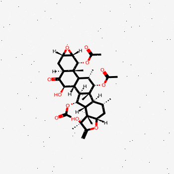 C=C1O[C@H]2C[C@@H](C)[C@H]3[C@@H]([C@H](OC(C)=O)[C@H]4[C@H]5C([C@H](C)[C@H](OC(C)=O)[C@]34C)[C@]3(C)[C@H](C[C@@H]4O[C@@H]4[C@@H]3OC(C)=O)C(=O)[C@@H]5O)[C@@]2(C)[C@]1(C)O